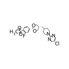 CS(=O)(=O)c1ccc([C@H]2OC[C@@H](CC3CCN(c4ncc(Cl)cn4)CC3)CO2)cc1F